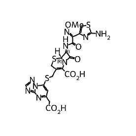 CON=C(C(=O)N[C@@H]1C(=O)N2C(C(=O)O)=C(CSc3cc(CC(=O)O)nc4ncnn34)CS[C@H]12)c1csc(N)n1